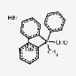 Br.COc1ccccc1P(C)(C=O)(c1ccccc1)c1ccccc1